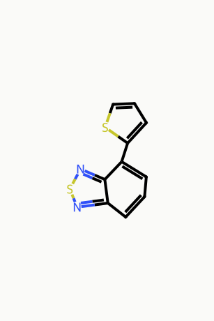 c1csc(-c2cccc3nsnc23)c1